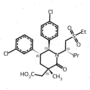 CCS(=O)(=O)C[C@H](C(C)C)N1C(=O)[C@](C)(CC(=O)O)C[C@H](c2cccc(Cl)c2)[C@H]1c1ccc(Cl)cc1